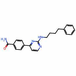 NC(=O)c1ccc(-c2ccnc(NCCCCc3ccccc3)n2)cc1